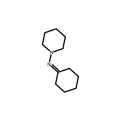 C1CCC(=NN2CCCCC2)CC1